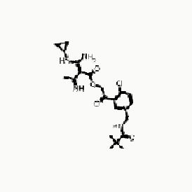 CC(=N)/C(C(=O)OCC(=O)c1cc(CNC(=O)C(C)(C)C)ccc1Cl)=C(/N)NC1CC1